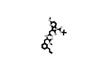 C=CCc1cccc(CC(NC(=O)Cc2c(Br)n(C(=O)OC(C)(C)C)c3ccc(OC)nc23)C(=O)OC)c1